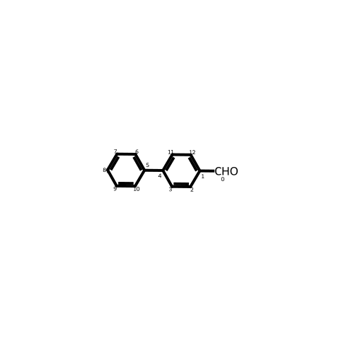 O=Cc1ccc(-c2cc[c]cc2)cc1